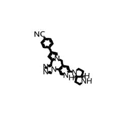 N#Cc1ccc(-c2cc3n(c2)Cc2cc(N4CC[C@@H]5NCC[C@H]54)ncc2-n2cnnc2-3)cc1